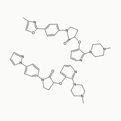 CN1CCN(c2ncccc2OC2CCN(c3ccc(-n4cccn4)cc3)C2=O)CC1.Cc1coc(-c2ccc(N3CCC(Oc4cccnc4N4CCN(C)CC4)C3=O)cc2)n1